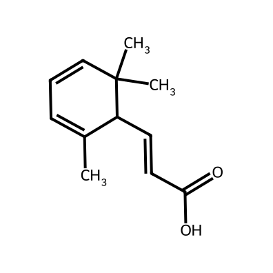 CC1=CC=CC(C)(C)C1C=CC(=O)O